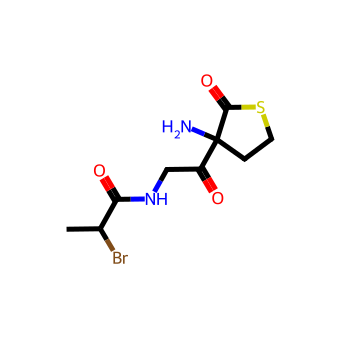 CC(Br)C(=O)NCC(=O)C1(N)CCSC1=O